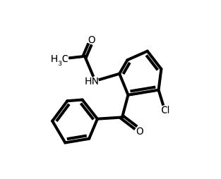 CC(=O)Nc1cccc(Cl)c1C(=O)c1ccccc1